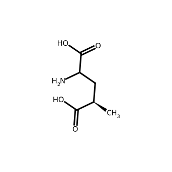 C[C@H](CC(N)C(=O)O)C(=O)O